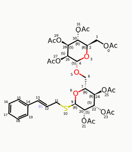 CC(=O)OC[C@H]1O[C@H](OC[C@H]2O[C@H](SC/C=C/c3ccccc3)[C@@H](OC(C)=O)[C@@H](OC(C)=O)[C@@H]2OC(C)=O)[C@@H](OC(C)=O)[C@@H](OC(C)=O)[C@@H]1OC(C)=O